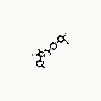 COc1cc(N2CCN(C(=O)Cn3nc(-c4cccc(C)n4)c(Br)c3C)CC2)ccc1Cl